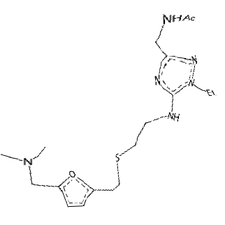 CCn1nc(CNC(C)=O)nc1NCCSCc1ccc(CN(C)C)o1